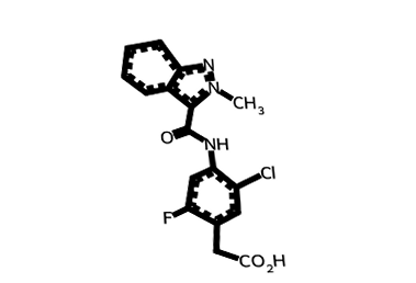 Cn1nc2ccccc2c1C(=O)Nc1cc(F)c(CC(=O)O)cc1Cl